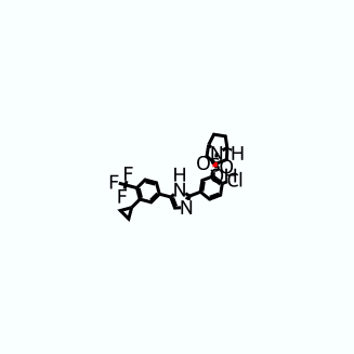 O=S(=O)(c1cc(-c2ncc(-c3ccc(C(F)(F)F)c(C4CC4)c3)[nH]2)ccc1Cl)N1C2CC[C@@H]1CC(O)C2